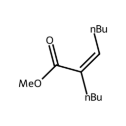 CCCCC=C(CCCC)C(=O)OC